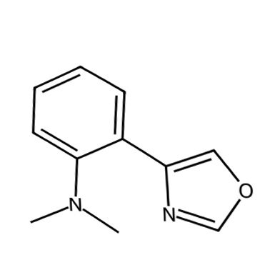 CN(C)c1ccccc1-c1cocn1